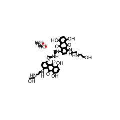 Cl.Cl.Cl.Cl.O=C1c2c(O)ccc(O)c2C(=O)c2c(N3CC3NC3CN3c3ccc(NCCNCCO)c4c3C(=O)c3c(O)ccc(O)c3C4=O)ccc(NCCNCCO)c21